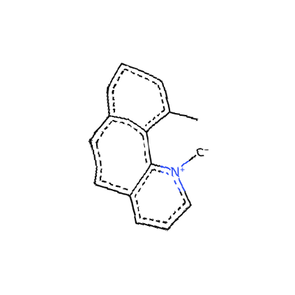 [CH2-][n+]1cccc2ccc3cccc(C)c3c21